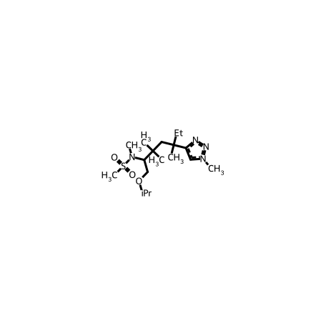 CCC(C)(CC(C)(C)C(COC(C)C)N(C)S(C)(=O)=O)c1cn(C)nn1